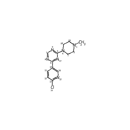 CN1CCN(c2ncnc(-c3ccc(Cl)nc3)n2)CC1